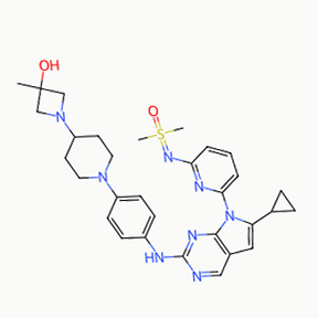 CC1(O)CN(C2CCN(c3ccc(Nc4ncc5cc(C6CC6)n(-c6cccc(N=S(C)(C)=O)n6)c5n4)cc3)CC2)C1